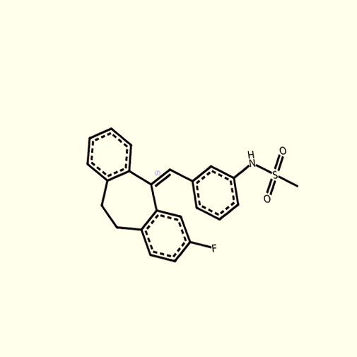 CS(=O)(=O)Nc1cccc(/C=C2/c3ccccc3CCc3ccc(F)cc32)c1